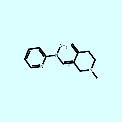 C=C1CCN(C)C/C1=C/N(N)c1ccccn1